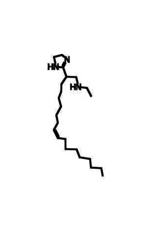 CCCCCCCC/C=C\CCCCCCC(CNCC)C1=NCCN1